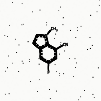 Cn1ccc2cc(F)cc(C#N)c21